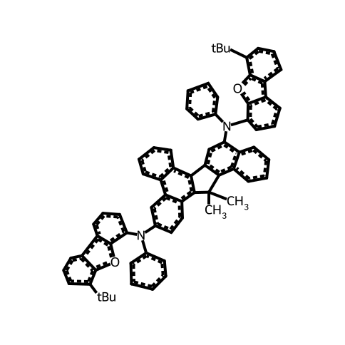 CC(C)(C)c1cccc2c1oc1c(N(c3ccccc3)c3ccc4c5c(c6ccccc6c4c3)-c3cc(N(c4ccccc4)c4cccc6c4oc4c(C(C)(C)C)cccc46)c4ccccc4c3C5(C)C)cccc12